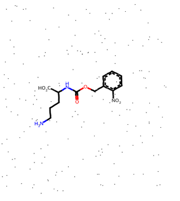 NCCCC(NC(=O)OCc1ccccc1[N+](=O)[O-])C(=O)O